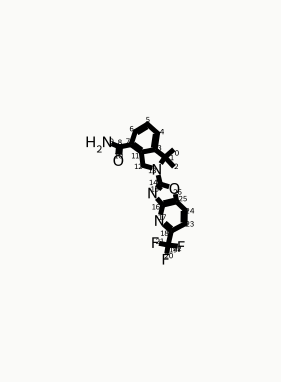 CC1(C)c2cccc(C(N)=O)c2CN1c1nc2nc(C(F)(F)F)ccc2o1